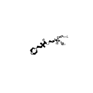 CCCC(C)OP(=O)(SCCOC(=O)C(C)(C)CCN1CCOCC1)SC(C)(C)C